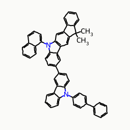 CC1(C)c2ccccc2-c2cc3c(cc21)c1cc(-c2ccc4c(c2)c2ccccc2n4-c2ccc(-c4ccccc4)cc2)ccc1n3-c1cccc2ccccc12